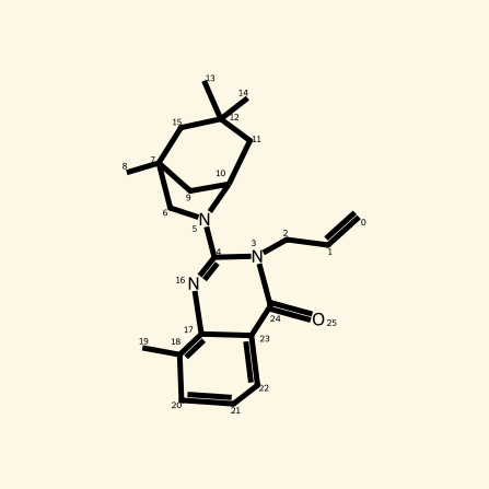 C=CCn1c(N2CC3(C)CC2CC(C)(C)C3)nc2c(C)cccc2c1=O